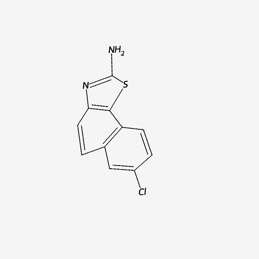 Nc1nc2ccc3cc(Cl)ccc3c2s1